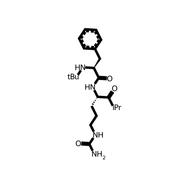 CC(C)C(=O)[C@H](CCCNC(N)=O)NC(=O)[C@H](Cc1ccccc1)NC(C)(C)C